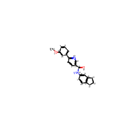 CCOc1cccc(-c2ccc(C(=O)Nc3ccc4c(c3)CCC4)cn2)c1